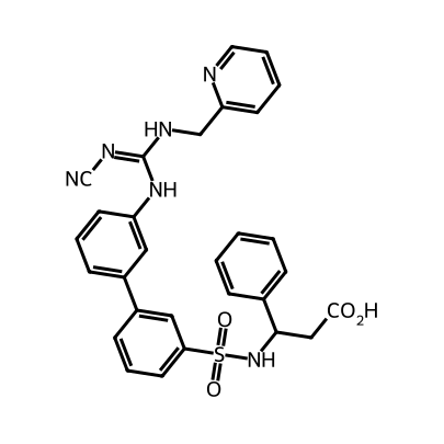 N#CN=C(NCc1ccccn1)Nc1cccc(-c2cccc(S(=O)(=O)NC(CC(=O)O)c3ccccc3)c2)c1